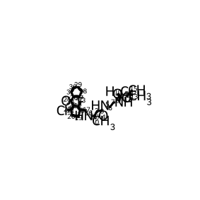 C[C@@H](CC(=O)NCCNC(=O)OC(C)(C)C)NCc1ccc(Cl)c(C(=O)c2ccccc2)c1F